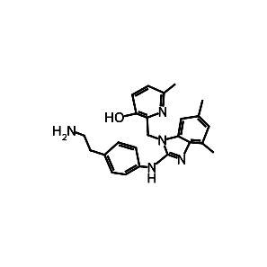 Cc1cc(C)c2nc(Nc3ccc(CCN)cc3)n(Cc3nc(C)ccc3O)c2c1